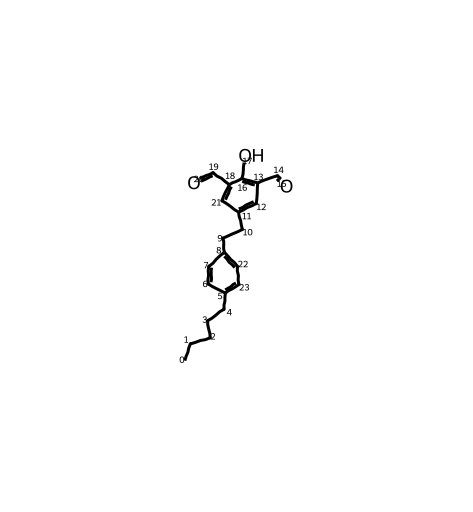 CCCCCc1ccc(CCc2cc(C=O)c(O)c(C=O)c2)cc1